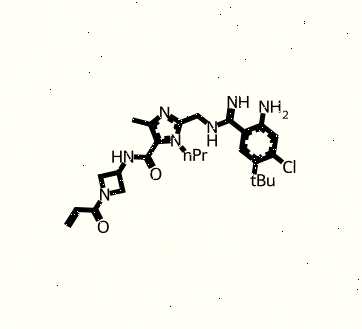 C=CC(=O)N1CC(NC(=O)c2c(C)nc(CNC(=N)c3cc(C(C)(C)C)c(Cl)cc3N)n2CCC)C1